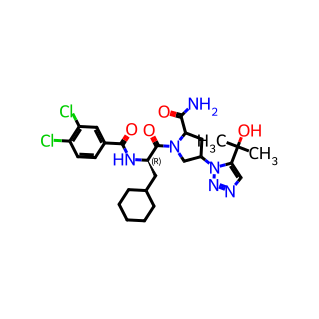 CC(C)(O)c1cnnn1C1CC(C(N)=O)N(C(=O)[C@@H](CC2CCCCC2)NC(=O)c2ccc(Cl)c(Cl)c2)C1